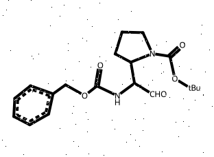 CC(C)(C)OC(=O)N1CCCC1C(C=O)NC(=O)OCc1ccccc1